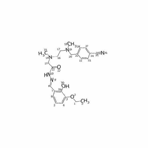 CCOc1cccc(C=NNC(=O)CN(C)CCN(C)Cc2ccc(C#N)cc2)c1O